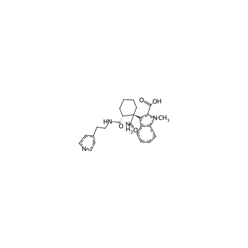 Cn1c(C(=O)O)c([C@]2(C(N)=O)CCCC[C@H]2C(=O)NCCc2ccncc2)c2ccccc21